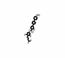 CCCc1ccc(-c2ccc(-c3ccc(C(=O)Oc4cc(F)c(C/C=C/C(F)F)c(F)c4)c(F)c3)cc2)cc1